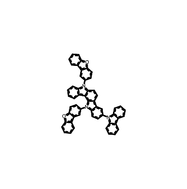 c1ccc2c(c1)oc1ccc(-n3c4ccccc4c4c3ccc3c5cc(-n6c7ccccc7c7ccccc76)ccc5n(-c5ccc6oc7ccccc7c6c5)c34)cc12